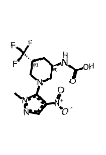 Cn1ncc([N+](=O)[O-])c1N1C[C@H](NC(=O)O)C[C@@H](C(F)(F)F)C1